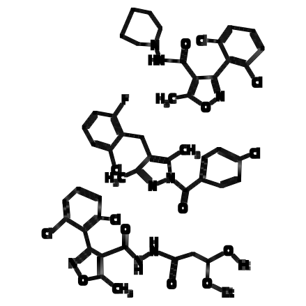 CCOC(CC(=O)NNC(=O)c1c(-c2c(Cl)cccc2Cl)noc1C)OCC.Cc1nn(C(=O)c2ccc(Cl)cc2)c(C)c1Cc1c(F)cccc1Cl.Cc1onc(-c2c(Cl)cccc2Cl)c1C(=O)NN1CCCCC1